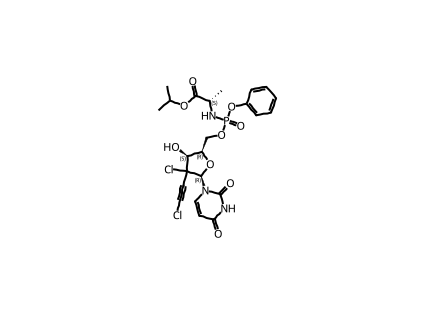 CC(C)OC(=O)[C@H](C)NP(=O)(OC[C@H]1O[C@@H](n2ccc(=O)[nH]c2=O)C(Cl)(C#CCl)[C@H]1O)Oc1ccccc1